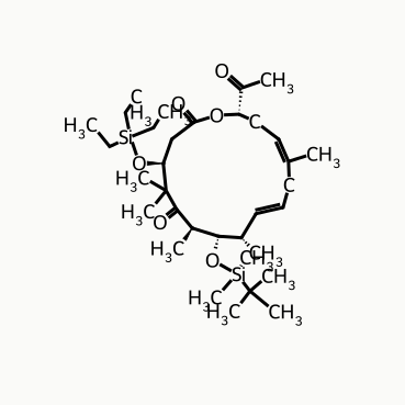 CC[Si](CC)(CC)O[C@H]1CC(=O)O[C@H](C(C)=O)C/C=C(/C)C/C=C/[C@H](C)[C@H](O[Si](C)(C)C(C)(C)C)[C@@H](C)C(=O)C1(C)C